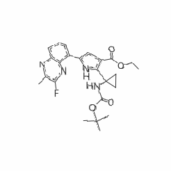 CCOC(=O)c1cc(-c2cccc3nc(C)c(F)nc23)[nH]c1C1(NC(=O)OC(C)(C)C)CC1